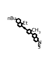 CCCCC1CCc2c(ccc(C#Cc3ccc(-c4ccc5cc(N=C=S)ccc5c4)c(C)c3)c2CC)C1